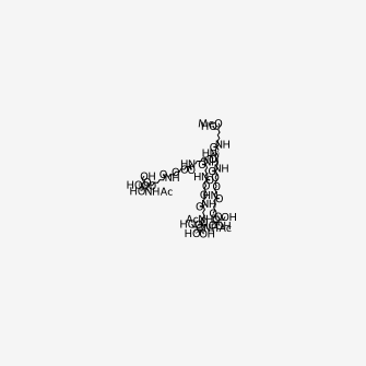 COCC(CO)CCCCNC(=O)C[C@H](CCCCNC(=O)COCCOCCNC(=O)CCCCO[C@@H]1OC(CO)[C@@H](O)[C@H](O)C1NC(C)=O)NC(=O)C[C@H](CCCCNC(=O)COCCOCCNC(=O)CCCCO[C@@H]1OC(CO)[C@@H](O)[C@H](O)C1NC(C)=O)NC(=O)CCCNC(=O)COCCOCCNC(=O)CCCCO[C@@H]1OC(CO)[C@@H](O)[C@H](O)C1NC(C)=O